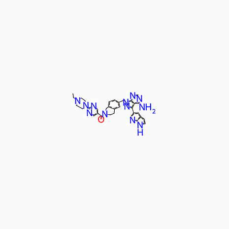 CCN1CCN(c2ncc(C(=O)N3CCc4cc(Cn5nc(-c6cnc7[nH]ccc7c6)c6c(N)ncnc65)ccc4C3)cn2)CC1